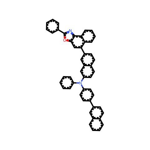 c1ccc(-c2nc3c(cc(-c4ccc5ccc(N(c6ccccc6)c6ccc(-c7ccc8ccccc8c7)cc6)cc5c4)c4ccccc43)o2)cc1